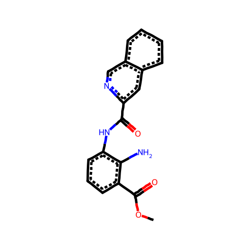 COC(=O)c1cccc(NC(=O)c2cc3ccccc3cn2)c1N